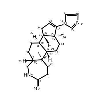 C[C@]12CCC(=O)NC[C@@H]1CC[C@@H]1[C@@H]2CC[C@]2(C)C(n3ccnc3)=CC[C@@H]12